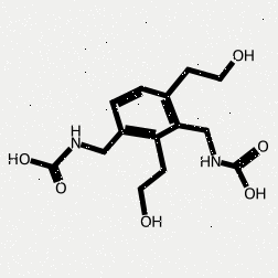 O=C(O)NCc1ccc(CCO)c(CNC(=O)O)c1CCO